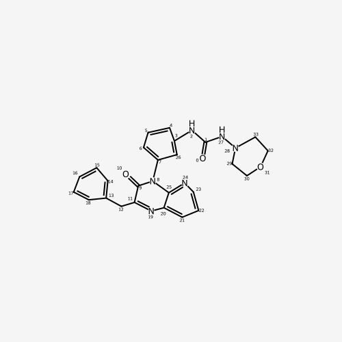 O=C(Nc1cccc(-n2c(=O)c(Cc3ccccc3)nc3cccnc32)c1)NN1CCOCC1